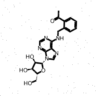 CC(=O)c1ccccc1CNc1ncnc2c1ncn2[C@@H]1O[C@H](CO)[C@@H](O)[C@H]1O